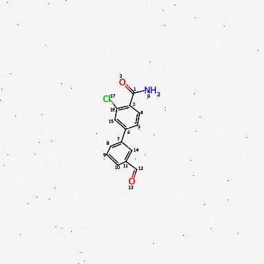 NC(=O)c1ccc(-c2cccc(C=O)c2)cc1Cl